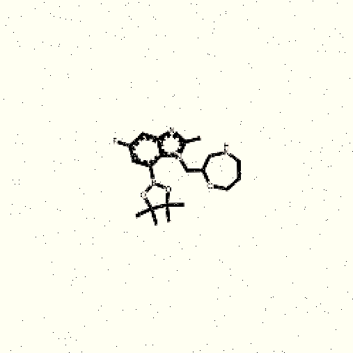 Cc1nc2cc(F)cc(B3OC(C)(C)C(C)(C)O3)c2n1CC1CNCCCO1